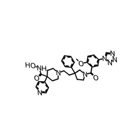 COc1ccc(-n2cnnn2)cc1C(=O)N1CCC(CCN2CCC(C(=O)NO)(c3ccncc3)CC2)(c2ccccc2)C1